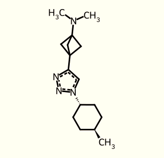 CN(C)C12CC(c3cn([C@H]4CC[C@H](C)CC4)nn3)(C1)C2